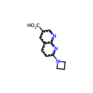 O=C(O)c1cnc2nc(N3CCC3)ccc2c1